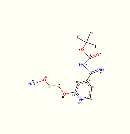 CC(C)(C)OC(=O)NC(=N)c1ccnc(OCCON)c1